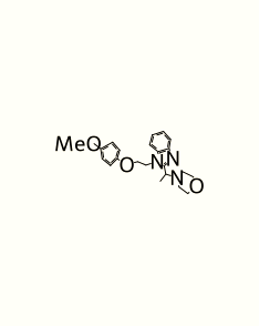 COc1ccc(OCCn2c(C(C)N3CCOCC3)nc3ccccc32)cc1